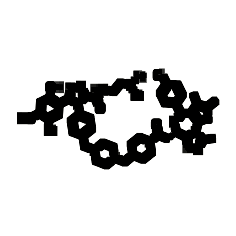 CCc1cc(-c2nnc(C(=O)NCCN(CC)CC)n2-c2ccc(CN3CCN(CC4CCN(C(=O)C[C@@H]5N=C(c6ccc(Cl)cc6)c6c(sc(C)c6C)-n6c(C)nnc65)CC4)CC3)cc2)c(O)cc1O